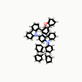 c1ccc([Si](c2ccccc2)(c2ccccc2)c2cccc(-n3c4ccccc4c4cc(-n5c6ccccc6c6cccc(-c7cccc8c7oc7ccccc78)c65)ccc43)c2)cc1